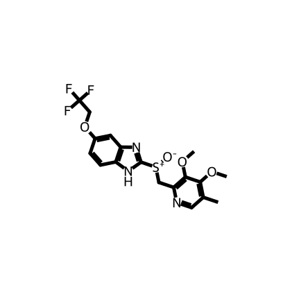 COc1c(C)cnc(C[S+]([O-])c2nc3cc(OCC(F)(F)F)ccc3[nH]2)c1OC